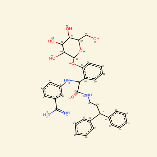 N=C(N)c1cccc(NC(C(=O)NCCC(c2ccccc2)c2ccccc2)c2ccccc2OC2OC(CO)C(O)C(O)C2O)c1